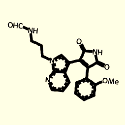 COc1ccccc1C1=C(c2cn(CCCNC=O)c3ncccc23)C(=O)NC1=O